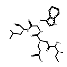 CC[C@H](C)[C@H](N)C(=O)N[C@@H](CCC(=O)O)C(=O)N[C@@H](Cc1c[nH]c2ccccc12)C(=O)N[C@H]([C]=O)CC(C)C